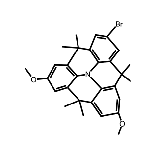 COc1cc2c3c(c1)C(C)(C)c1cc(OC)cc4c1N3c1c(cc(Br)cc1C4(C)C)C2(C)C